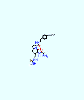 CCNC(=S)NCC[C@H]1CCC2CC[C@@H](C(=O)NCCc3ccc(OC)cc3)N2C(=O)C1NC(=O)[C@@H](N)CC